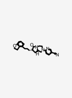 N#Cc1ccc(N2CCN3C(=O)[C@@H](CCCc4cccc5c4CCO5)C[C@H]3C2)nc1